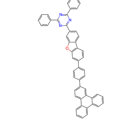 c1ccc(-c2nc(-c3ccccc3)nc(-c3ccc4c(c3)oc3cc(-c5ccc(-c6ccc7c8ccccc8c8ccccc8c7c6)cc5)ccc34)n2)cc1